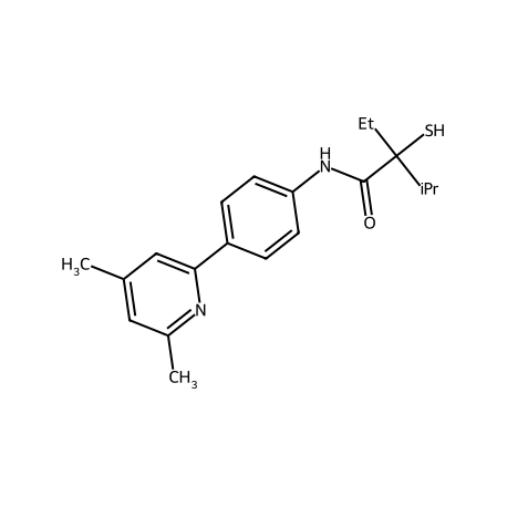 CCC(S)(C(=O)Nc1ccc(-c2cc(C)cc(C)n2)cc1)C(C)C